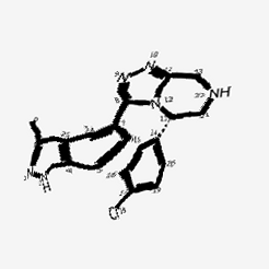 Cc1n[nH]c2ccc(-c3nnc4n3[C@@H](c3ccc(Cl)cc3)CNC4)cc12